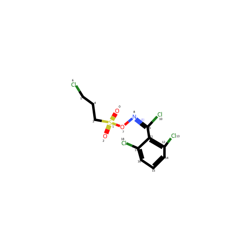 O=S(=O)(CCCCl)O/N=C(/Cl)c1c(Cl)cccc1Cl